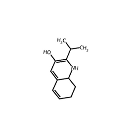 CC(C)C1=C(O)C=C2C=CCCC2N1